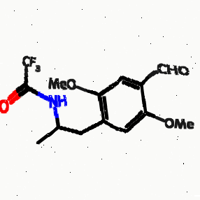 COc1cc(CC(C)NC(=O)C(F)(F)F)c(OC)cc1C=O